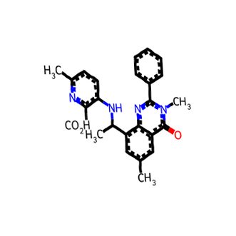 Cc1cc(C(C)Nc2ccc(C)nc2C(=O)O)c2nc(-c3ccccc3)n(C)c(=O)c2c1